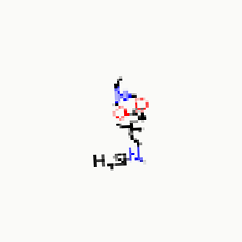 CCN1CO[Si](C)(C(C)(C)CCN(C)[SiH3])OC1